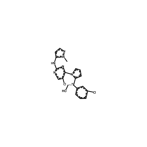 Cn1nccc1Nc1ncc(Cl)c(-n2cccc2[C@@H](CO)c2cccc(Cl)c2)n1